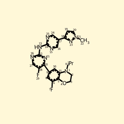 CC(C)N1CCOc2c(F)cc(-c3nc(Nc4ncc(-c5ccn(C)n5)cn4)ncc3F)cc21